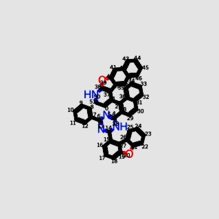 C1=C(c2c(C3=NC(c4ccccc4)=NC(c4cccc5oc6ccccc6c45)N3)ccc3ccccc23)c2c(oc3cc4ccccc4cc23)NC1